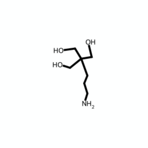 NCCCC(CO)(CO)CO